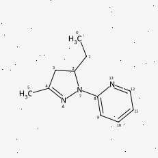 CCC1CC(C)=NN1c1ccccn1